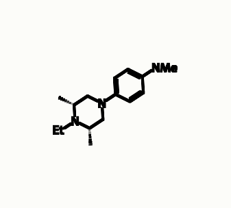 CCN1[C@H](C)CN(c2ccc(NC)cc2)C[C@@H]1C